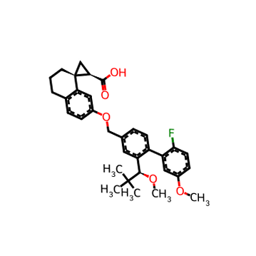 COc1ccc(F)c(-c2ccc(COc3ccc4c(c3)[C@]3(CCC4)C[C@H]3C(=O)O)cc2[C@@H](OC)C(C)(C)C)c1